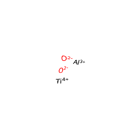 [Al+3].[O-2].[O-2].[Ti+4]